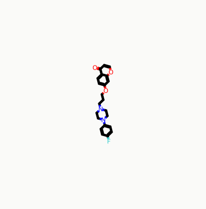 O=c1ccoc2cc(OCCCN3CCN(c4ccc(F)cc4)CC3)ccc12